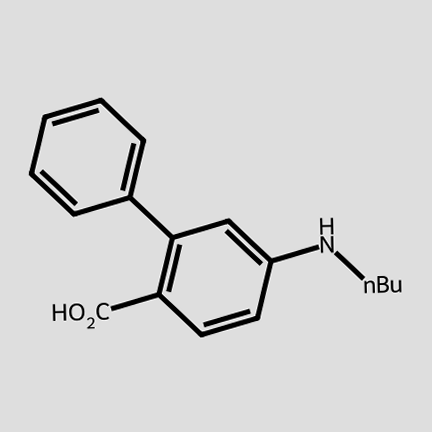 CCCCNc1ccc(C(=O)O)c(-c2ccccc2)c1